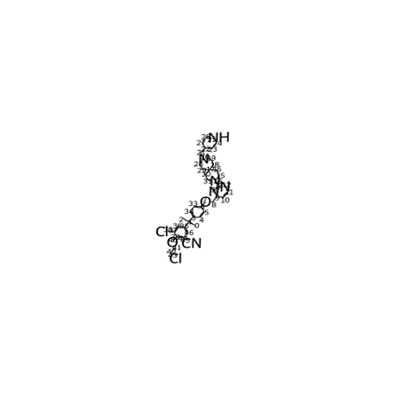 CC(C)(c1ccc(OCc2ccnc(N3CCC4(CCN(CC5CCNCC5)CC4)CC3)n2)cc1)c1cc(Cl)c(OCCCl)c(C#N)c1